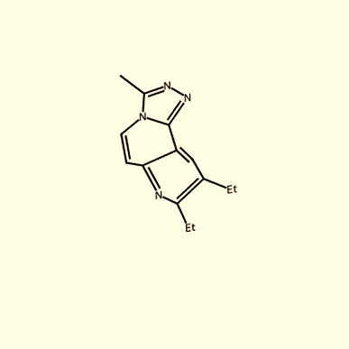 CCc1cc2c(ccn3c(C)nnc23)nc1CC